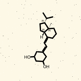 CC(C)[C@H]1CC[C@H]2C(=CC=C3CC(O)CC(O)C3)CCC[C@]12C